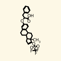 C[C@]12CCC3c4ccc(OC(Cc5ccccc5)C(=O)O)cc4CCC3C1CC=C2OS(=O)(=O)C(F)(F)F